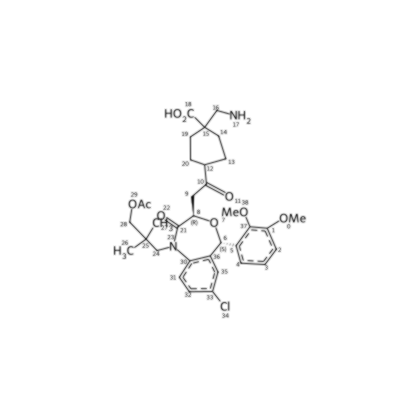 COc1cccc([C@H]2O[C@H](CC(=O)C3CCC(CN)(C(=O)O)CC3)C(=O)N(CC(C)(C)COC(C)=O)c3ccc(Cl)cc32)c1OC